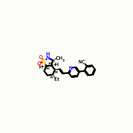 CC[C@@H]1CC[C@@H]2[C@H]([C@H]1C=Cc1ccc(-c3ccccc3C#N)cn1)[C@@H](C)NS2(=O)=O